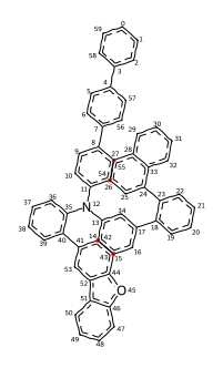 c1ccc(-c2ccc(-c3ccc(N(c4cccc(-c5ccccc5-c5cccc6ccccc56)c4)c4ccccc4-c4ccc5oc6ccccc6c5c4)cc3)cc2)cc1